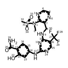 CN(c1nccnc1CNc1nc(Nc2ccc(C(N)=O)c(O)c2)ncc1C(F)(F)F)S(C)(=O)=O